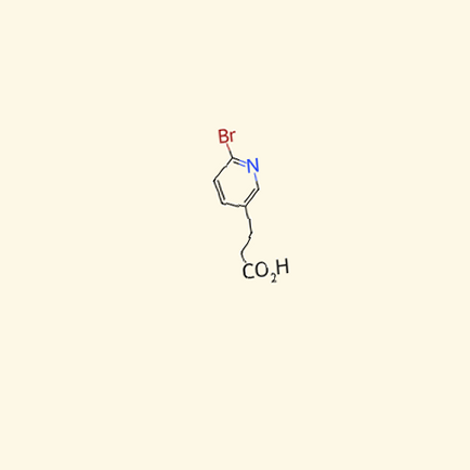 O=C(O)CCc1ccc(Br)nc1